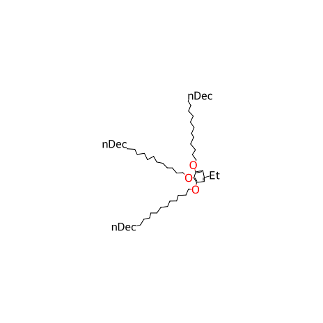 [CH2]Cc1cc(OCCCCCCCCCCCCCCCCCCCCCC)c(OCCCCCCCCCCCCCCCCCCCCCC)c(OCCCCCCCCCCCCCCCCCCCCCC)c1